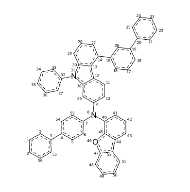 c1ccc(-c2ccc(N(c3ccc4c5c(-c6cccc(-c7ccccc7)c6)cccc5n(-c5ccccc5)c4c3)c3cccc4c3oc3ccccc34)cc2)cc1